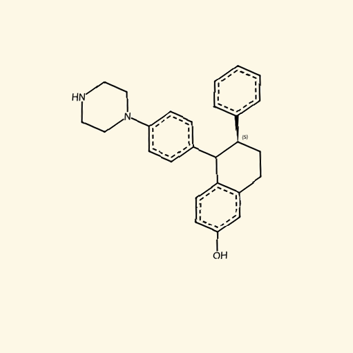 Oc1ccc2c(c1)CC[C@H](c1ccccc1)C2c1ccc(N2CCNCC2)cc1